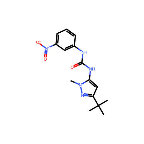 Cn1nc(C(C)(C)C)cc1NC(=O)Nc1cccc([N+](=O)[O-])c1